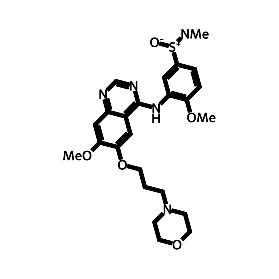 CN[S+]([O-])c1ccc(OC)c(Nc2ncnc3cc(OC)c(OCCCN4CCOCC4)cc23)c1